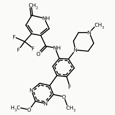 C=C1C=C(C(F)(F)F)C(C(=O)Nc2cc(-c3cnc(OC)nc3OC)c(F)cc2N2CCN(C)CC2)=CN1